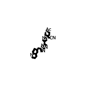 CC(=O)N1CCC(CC#N)(n2cc(-c3cnc4ncc(Cc5ccc6ncccc6c5)n4n3)cn2)CC1